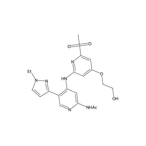 CCn1ccc(-c2cnc(NC(C)=O)cc2Nc2cc(OCCO)cc(S(C)(=O)=O)n2)n1